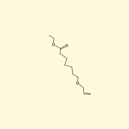 C=CCOCCCCCCC(=O)OCC